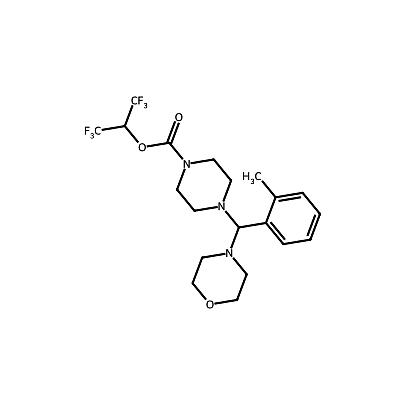 Cc1ccccc1C(N1CCOCC1)N1CCN(C(=O)OC(C(F)(F)F)C(F)(F)F)CC1